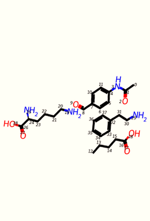 CC(=O)Nc1ccc(C=O)cc1.CCCCC(=O)O.NCCCC[C@H](N)C(=O)O.NCCc1ccccc1